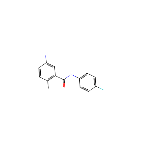 CCc1ccc(N)cc1C(=O)Nc1ccc(F)cc1